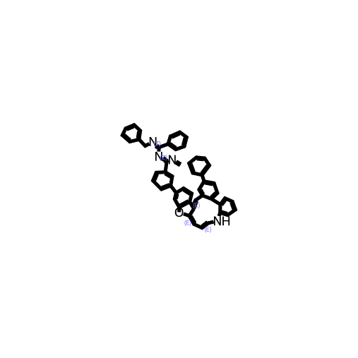 C=N/C(=N\C(=N/Cc1ccccc1)c1ccccc1)c1cccc(-c2ccc3c4/c(oc3c2)=C\C=C\Nc2ccccc2-c2ccc(-c3ccccc3)cc2/C=4)c1